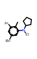 CCC(C)c1cc(C(C)=O)c(C)c(N(CC)C2CCCC2)c1